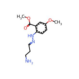 COC(=O)c1cc(OC)ccc1N/N=C/CCN